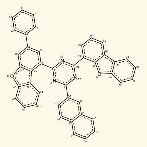 c1ccc(-c2cc(-c3nc(-c4ccc5ccccc5c4)nc(-c4cccc5c4oc4ccccc45)n3)c3c(c2)oc2ccccc23)cc1